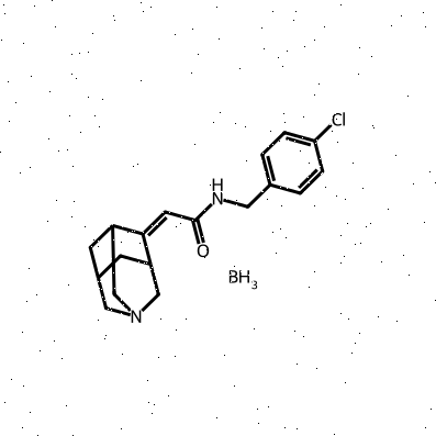 B.O=C(C=C1C2CC3CC1CN(C3)C2)NCc1ccc(Cl)cc1